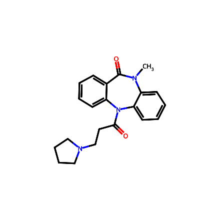 CN1C(=O)c2ccccc2N(C(=O)CCN2CCCC2)c2ccccc21